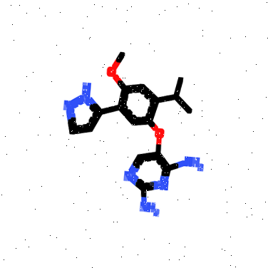 COc1cc(C(C)C)c(Oc2cnc(N)nc2N)cc1-c1ccn[nH]1